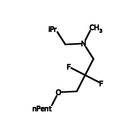 CCCCCOCC(F)(F)CN(C)CC(C)C